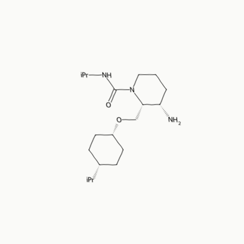 CC(C)NC(=O)N1CCC[C@H](N)[C@@H]1CO[C@H]1CC[C@@H](C(C)C)CC1